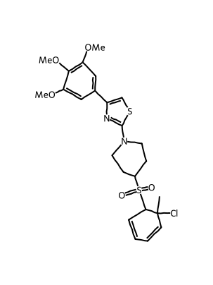 COc1cc(-c2csc(N3CCC(S(=O)(=O)C4C=CC=CC4(C)Cl)CC3)n2)cc(OC)c1OC